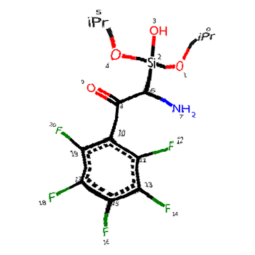 CC(C)O[Si](O)(OC(C)C)C(N)C(=O)c1c(F)c(F)c(F)c(F)c1F